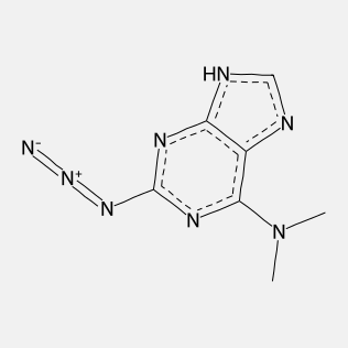 CN(C)c1nc(N=[N+]=[N-])nc2[nH]cnc12